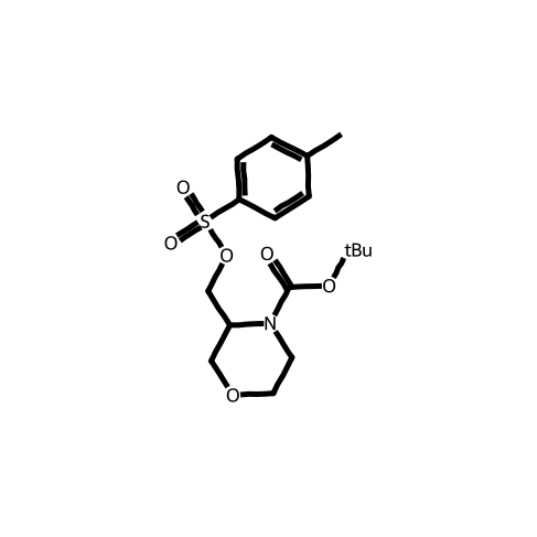 Cc1ccc(S(=O)(=O)OCC2COCCN2C(=O)OC(C)(C)C)cc1